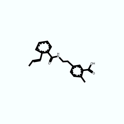 C/C=C/c1ccccc1C(=O)NCCc1ccc(C)c(C(=O)O)c1